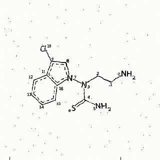 NCCN(C(N)=S)n1cc(Cl)c2ccccc21